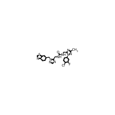 Cc1nc(CNC(=O)NCc2ncnn2Cc2ccc3ncsc3c2)n(-c2ccc(Cl)c(F)c2)n1